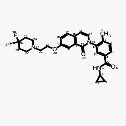 Cc1ccc(C(=O)NC2CC2)cc1-n1ccc2ccc(OCCN3CCC(F)(F)CC3)cc2c1=O